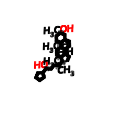 C[C@H](CC[C@@H](O)C1CCCC1)[C@H]1CC[C@H]2[C@@H]3CC=C4C[C@@](C)(O)CC[C@]4(C)[C@H]3CC[C@]12C